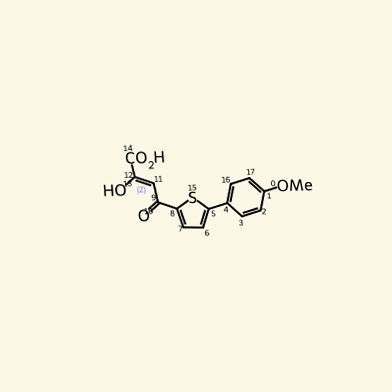 COc1ccc(-c2ccc(C(=O)/C=C(\O)C(=O)O)s2)cc1